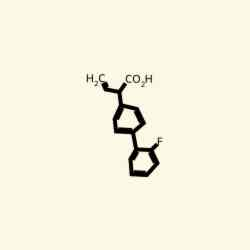 C=CC(C(=O)O)c1ccc(-c2ccccc2F)cc1